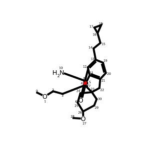 COCCN1C(=O)C2(N=C1N)c1cc(CCC3CC3)ccc1CC21CCC(OC)CC1